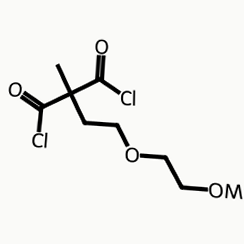 COCCOCCC(C)(C(=O)Cl)C(=O)Cl